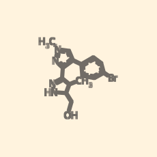 CC1C(c2nn(C)cc2-c2ccc(Br)cc2)=NNC1CO